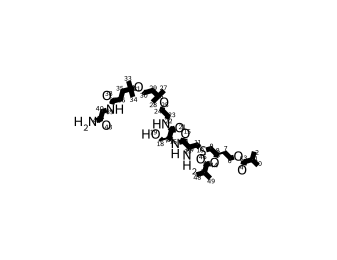 CC(C)C(=O)OCC[C@H](CSC[C@H](N)C(=O)N[C@@H](CO)C(=O)NCCOC(C)(C)CCOC(C)(C)CCC(=O)NCC(N)=O)OC(=O)C(C)C